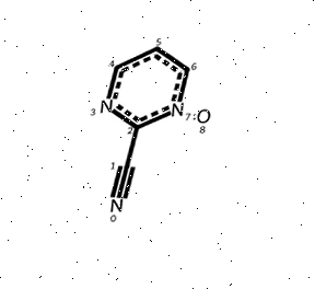 N#Cc1ncccn1.[O]